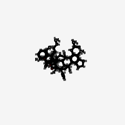 COCOc1c(OC)c(C)cc2c1[C@@H]1C3[C@@H]4SC[C@H](N5C(=O)c6ccccc6C5=O)C(=O)OC[C@@H](c5c6c(c(C)c(OC(C)=O)c54)OCO6)N3[C@@H](C#N)[C@H](C2)N1C